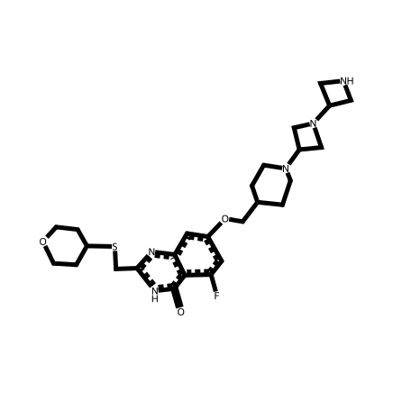 O=c1[nH]c(CSC2CCOCC2)nc2cc(OCC3CCN(C4CN(C5CNC5)C4)CC3)cc(F)c12